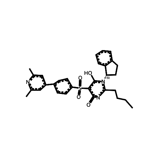 CCCCc1nc(=O)c(S(=O)(=O)c2ccc(-c3cc(C)nc(C)c3)cc2)c(O)n1[C@H]1CCc2ccccc21